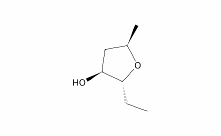 CC[C@H]1O[C@H](C)C[C@@H]1O